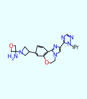 CC(C)n1ncnc1-c1cn2c(n1)-c1ccc(C3CN(C4(N)COC4)C3)cc1OCC2